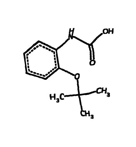 CC(C)(C)Oc1ccccc1NC(=O)O